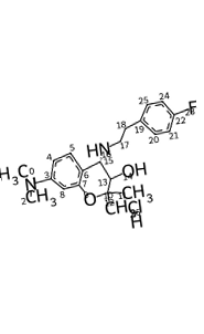 CN(C)c1ccc2c(c1)OC(C)(C)C(O)[C@H]2NCCc1ccc(F)cc1.Cl